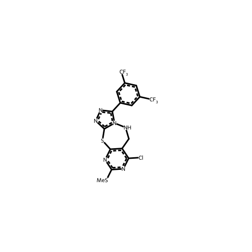 CSc1nc(Cl)c2c(n1)Sc1nnc(-c3cc(C(F)(F)F)cc(C(F)(F)F)c3)n1NC2